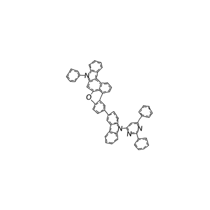 c1ccc(-c2cc(-n3c4ccccc4c4cc(-c5ccc6c(c5)-c5cccc7c5c(cc5c7c7ccccc7n5-c5ccccc5)O6)ccc43)nc(-c3ccccc3)n2)cc1